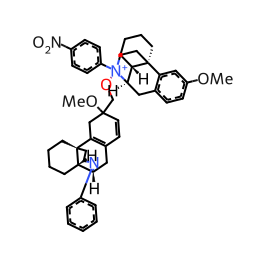 COc1ccc2c(c1)[C@@]13CCCC[C@H]1[C@@H](C2)[N+](OCC1(OC)C=CC2=C(C1)[C@@]14CCCC[C@H]1[C@@H](C2)N(c1ccccc1)CC4)(c1ccc([N+](=O)[O-])cc1)CC3